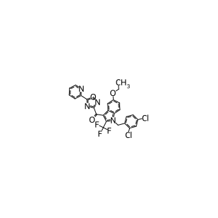 CCOc1ccc2c(c1)c(C(=O)c1noc(-c3ccccn3)n1)c(C(F)(F)F)n2Cc1ccc(Cl)cc1Cl